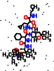 C=CCNC(=O)C(=O)C(CC1CC1)NC(=O)[C@@H]1[C@H]2CC(C)(C)O[C@H]2CN1C(=O)[C@@H](NC(=O)N[C@H](CS(=O)(=O)N(C)C(C)(C)C)C(C)(C)C)C1CCCCC1